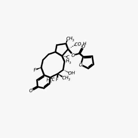 C[C@@H]1CC2CC[C@H](F)C3=CC(=O)C=C[C@]3(C)[C@@](C)(F)[C@@H](O)C[C@]2(C)[C@@]1(OC(=O)c1ccco1)C(=O)O